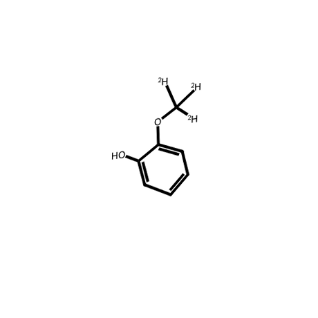 [2H]C([2H])([2H])Oc1ccccc1O